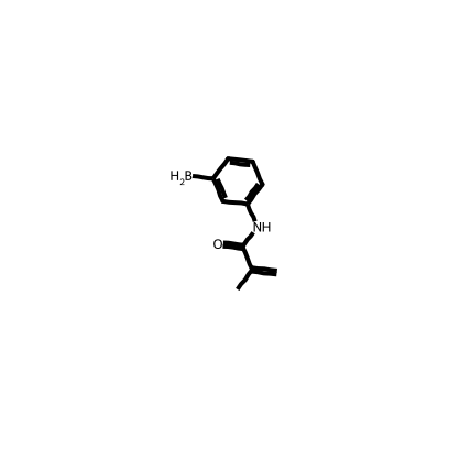 Bc1cccc(NC(=O)C(=C)C)c1